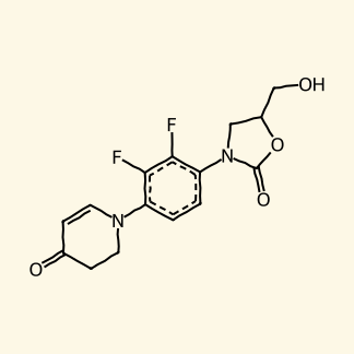 O=C1C=CN(c2ccc(N3CC(CO)OC3=O)c(F)c2F)CC1